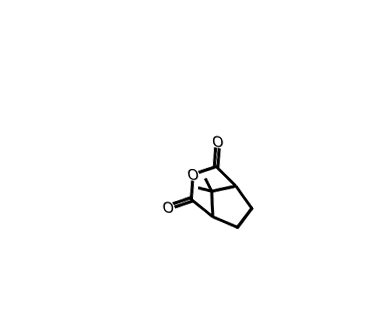 CC1(C)C2CCC1C(=O)OC2=O